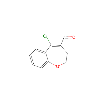 O=CC1=C(Cl)c2ccccc2OCC1